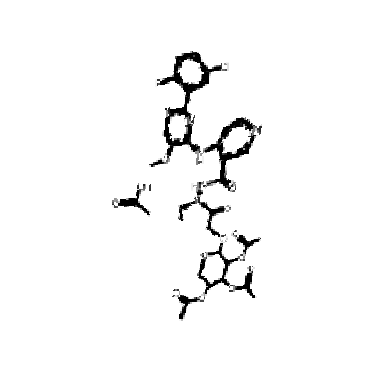 CC(=O)O.CCN(NC(=O)c1cnccc1Nc1nc(-c2cc(Cl)ccc2F)ncc1OC)C(=O)COC1OCC(OC(C)=O)C(OC(C)=O)C1OC(C)=O